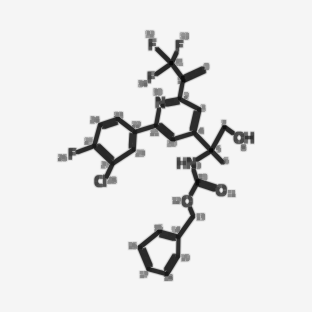 C=C(c1cc(C(C)(CO)NC(=O)OCc2ccccc2)cc(-c2ccc(F)c(Cl)c2)n1)C(F)(F)F